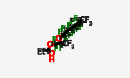 CCC(O)OC(F)(F)C(F)(OC(F)(F)C(F)(F)C(F)(F)C(F)(F)C(F)(F)C(F)(F)F)C(F)(F)F